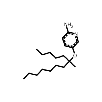 CCCCCCCC(C)(CCCCC)Oc1ccc(N)nc1